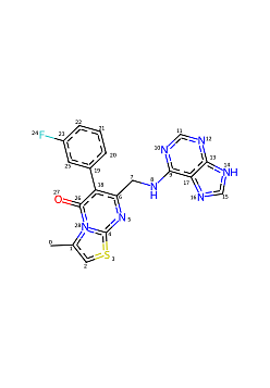 Cc1csc2nc(CNc3ncnc4[nH]cnc34)c(-c3cccc(F)c3)c(=O)n12